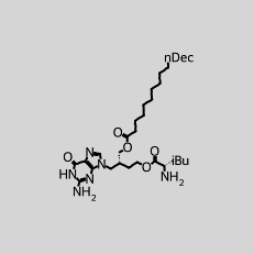 CCCCCCCCCCCCCCCCCCCC(=O)OC[C@H](CCOC(=O)[C@@H](N)C(C)CC)Cn1cnc2c(=O)[nH]c(N)nc21